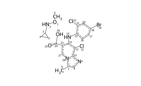 CONC1CC1.Cc1cnc2c(Cl)c(Nc3ccc(Br)cc3Cl)c(C(=O)O)cn12